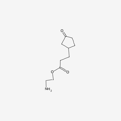 NCCOC(=O)CCC1CCC(=O)C1